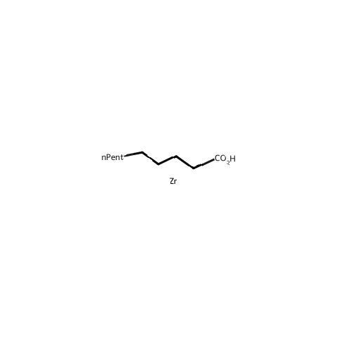 CCCCCCCCCC(=O)O.[Zr]